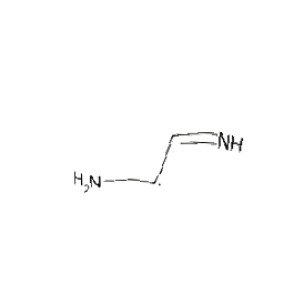 N=C[CH]N